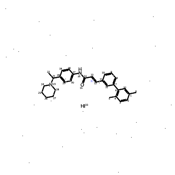 Cc1ccc(C)c(-c2cccc(/C=C/C(=O)Nc3ccc(C(C)N4CCCCC4)cc3)c2)c1.I